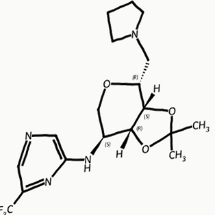 CC1(C)O[C@@H]2[C@H](O1)[C@@H](Nc1cncc(C(F)(F)F)n1)CO[C@@H]2CN1CCCC1